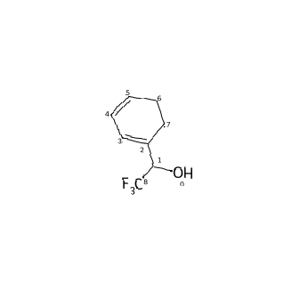 OC(C1=CC=CC[CH]1)C(F)(F)F